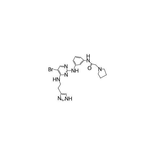 O=C(CN1CCCC1)Nc1cccc(Nc2ncc(Br)c(NCCc3c[nH]cn3)n2)c1